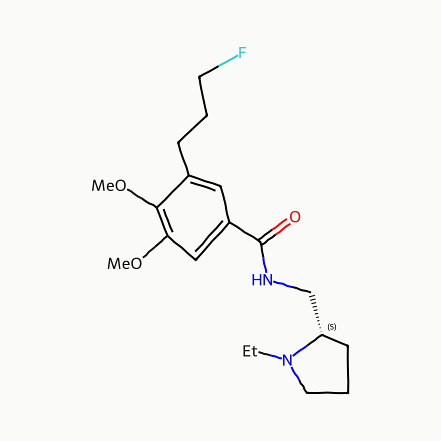 CCN1CCC[C@H]1CNC(=O)c1cc(CCCF)c(OC)c(OC)c1